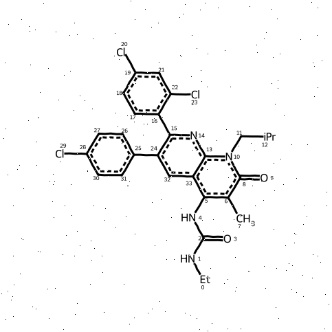 CCNC(=O)Nc1c(C)c(=O)n(CC(C)C)c2nc(-c3ccc(Cl)cc3Cl)c(-c3ccc(Cl)cc3)cc12